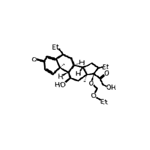 CCOCO[C@]1(C(=O)CO)C(CC)C[C@H]2[C@@H]3CC(CC)C4=CC(=O)C=C[C@]4(C)[C@H]3C(O)C[C@@]21C